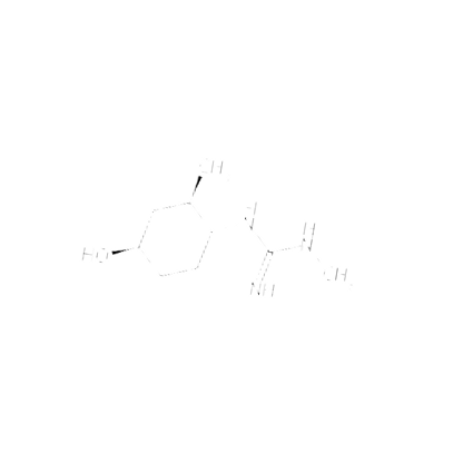 CNC(=N)N[C@@H]1CC[C@@H](O)C[C@H]1C